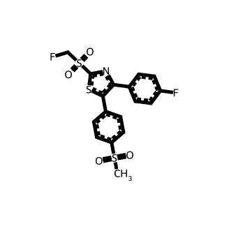 CS(=O)(=O)c1ccc(-c2sc(S(=O)(=O)CF)nc2-c2ccc(F)cc2)cc1